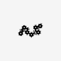 CC1(C)c2cc(-c3cccc(-c4nc(-c5cccc6c5sc5ccccc56)c5ccccc5n4)c3)ccc2-n2c3c1cccc3c1sc3ccccc3c12